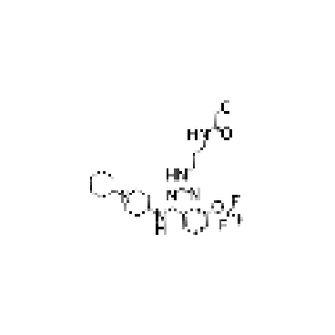 O=C(CCl)NCCCNc1nc(NC2CCN(C3CCCCC3)CC2)c2cccc(OC(F)(F)F)c2n1